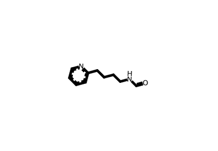 O=CNCCCCc1ccccn1